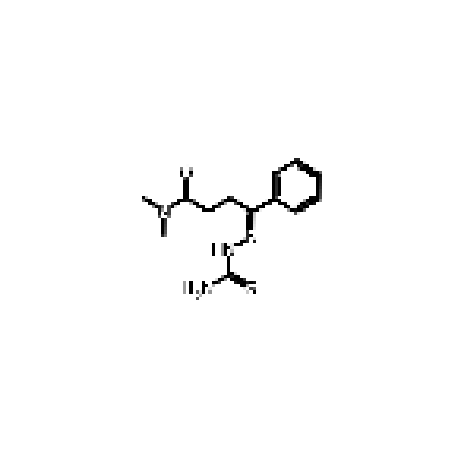 CN(C)C(=O)CCC(=NNC(N)=S)c1ccccc1